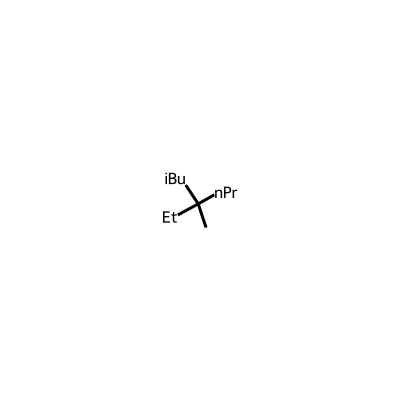 CCCC(C)(CC)C(C)CC